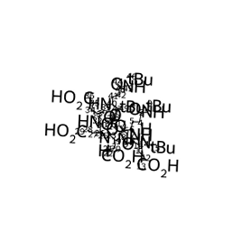 CC(C)(C)NC(=O)CCC(NC(=O)C(CCC(=O)O)NC(C)(C)C)C(=O)NC(CCC(=O)O)C(=O)NC(CCC(=O)O)C(=O)NC(CCC(=O)O)C(=O)NC(CCC(=O)NC(C)(C)C)C(=O)C(C)(C)C